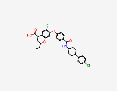 CCC1CC(C(=O)O)c2cc(Cl)c(Oc3ccc(C(=O)NC4CCC(c5ccc(Cl)cc5)CC4)cc3)cc2O1